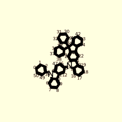 c1ccc(-n2c3ccccc3c3cc(-n4c5ccccc5c5cc6c(cc54)C(c4ccccc4)(c4ccccc4)c4ccccc4-6)ccc32)cc1